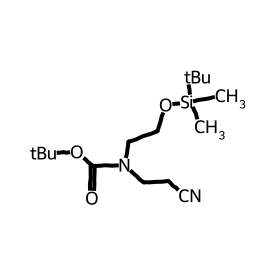 CC(C)(C)OC(=O)N(CCC#N)CCO[Si](C)(C)C(C)(C)C